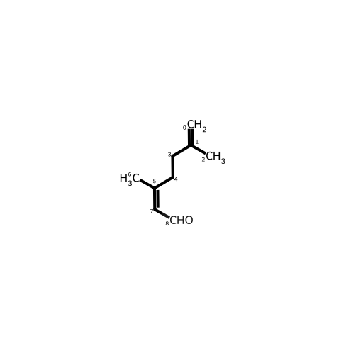 C=C(C)CCC(C)=CC=O